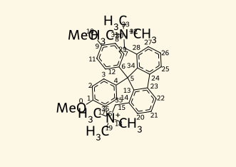 COc1ccc(C2(c3ccc(OC)cc3)c3c(C[N+](C)(C)C)cccc3-c3cccc(C[N+](C)(C)C)c32)cc1